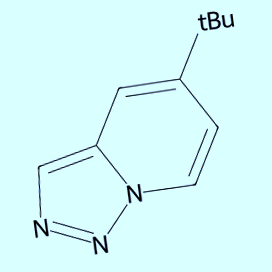 CC(C)(C)c1ccn2nncc2c1